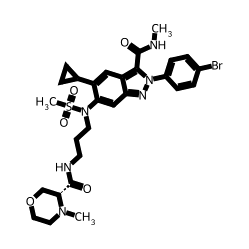 CNC(=O)c1c2cc(C3CC3)c(N(CCCNC(=O)[C@H]3COCCN3C)S(C)(=O)=O)cc2nn1-c1ccc(Br)cc1